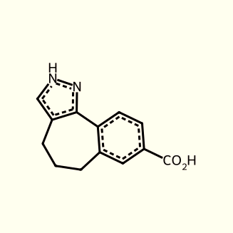 O=C(O)c1ccc2c(c1)CCCc1c[nH]nc1-2